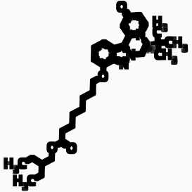 CCC(CC)COC(=O)CCCCCCCOc1cccc2c3n(nc12)C[C@@H](C(C)(C)C)n1ccc(=O)cc1-3